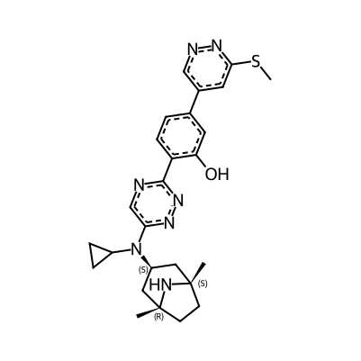 CSc1cc(-c2ccc(-c3ncc(N(C4CC4)[C@H]4C[C@]5(C)CC[C@](C)(C4)N5)nn3)c(O)c2)cnn1